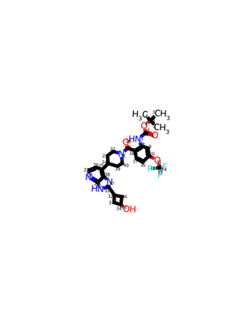 CC(C)(C)OC(=O)Nc1cc(OC(F)(F)F)ccc1C(=O)N1CCC(c2ccnc3[nH]c(C4CC(O)C4)nc23)CC1